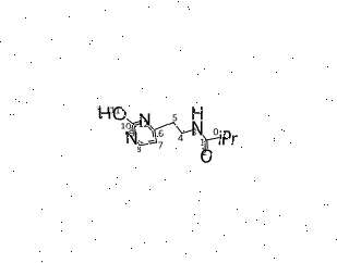 CC(C)C(=O)NCCc1ccnc(O)n1